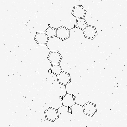 c1ccc(C2=NC(c3ccc4c(c3)oc3cc(-c5cccc6sc7cc(-n8c9ccccc9c9ccccc98)ccc7c56)ccc34)=NC(c3ccccc3)N2)cc1